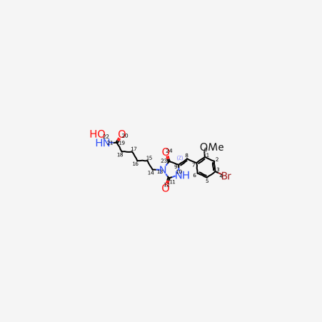 COc1cc(Br)ccc1/C=C1\NC(=O)N(CCCCCC(=O)NO)C1=O